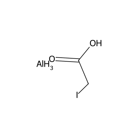 O=C(O)CI.[AlH3]